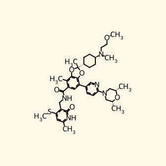 COCCN(C)[C@H]1CC[C@H](C2(C)Oc3c(-c4ccc(N5C[C@@H](C)O[C@@H](C)C5)nc4)cc(C(=O)NCc4c(SC)cc(C)[nH]c4=O)c(C)c3O2)CC1